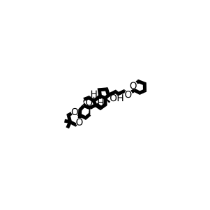 CC1(C)COC2(CC[C@]34O[C@]3(CC[C@@H]3C4=CC[C@]4(C)[C@H]3CC[C@]4(O)CCCOC3CCCCO3)C2)OC1